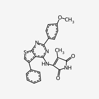 COc1ccc(-c2nc(NC3=C(C)C(=O)NC3=O)c3c(-c4ccccc4)csc3n2)cc1